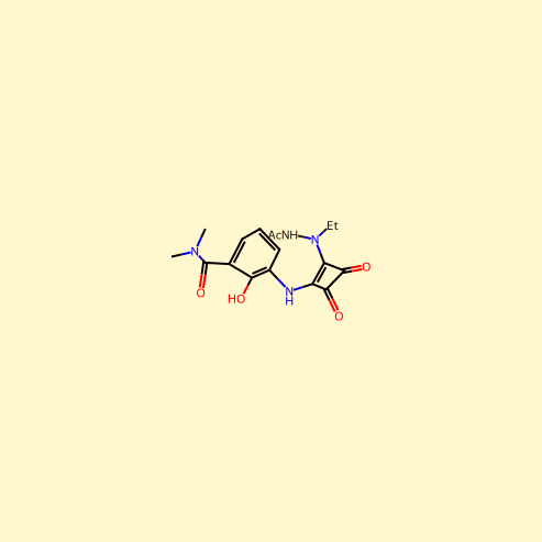 CCN(NC(C)=O)c1c(Nc2cccc(C(=O)N(C)C)c2O)c(=O)c1=O